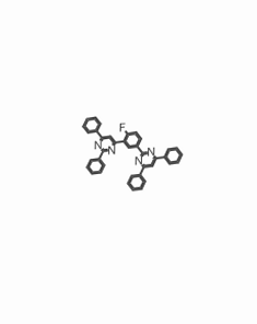 Fc1ccc(-c2nc(-c3ccccc3)cc(-c3ccccc3)n2)cc1-c1cc(-c2ccccc2)nc(-c2ccccc2)n1